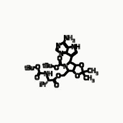 CC(C)[C@H](NC(=O)OC(C)(C)C)C(=O)OCC1C2OC(C)(C)OC2C(c2c[nH]c3c(N)ncnc23)N1C(=O)OC(C)(C)C